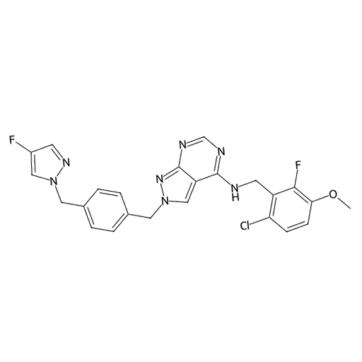 COc1ccc(Cl)c(CNc2ncnc3nn(Cc4ccc(Cn5cc(F)cn5)cc4)cc23)c1F